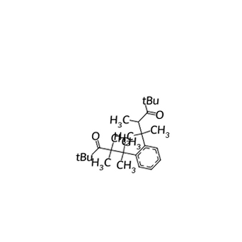 CC(C(=O)C(C)(C)C)C(C)(C)c1ccccc1C(C)(C)C(C)(C)C(=O)C(C)(C)C